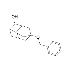 OC1C2CC3CC1CC(OCc1ccccc1)(C3)C2